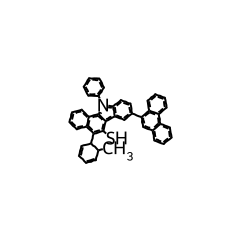 CC1C=CC=CC1c1c(S)c2c3cc(-c4cc5ccccc5c5ccccc45)ccc3n(-c3ccccc3)c2c2ccccc12